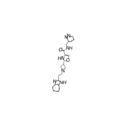 O=C(NCc1cccnn1)C1=COC(C2CN(CCc3nc4ccccc4[nH]3)C2)N1